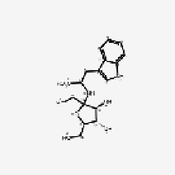 O=C(O)C(Cc1c[nH]c2ccccc12)NC1(CO)O[C@H](CO)[C@@H](O)[C@@H]1O